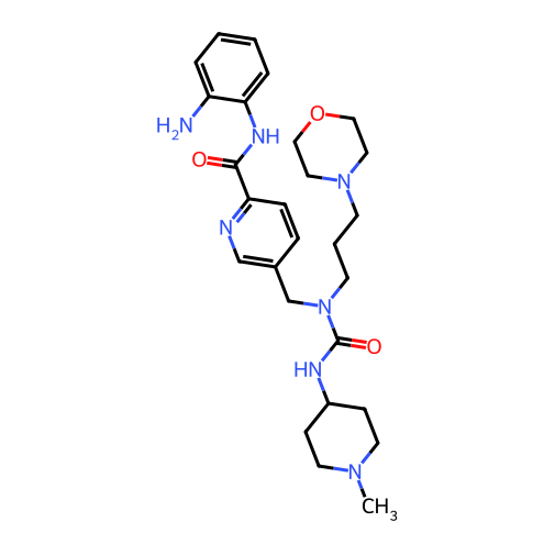 CN1CCC(NC(=O)N(CCCN2CCOCC2)Cc2ccc(C(=O)Nc3ccccc3N)nc2)CC1